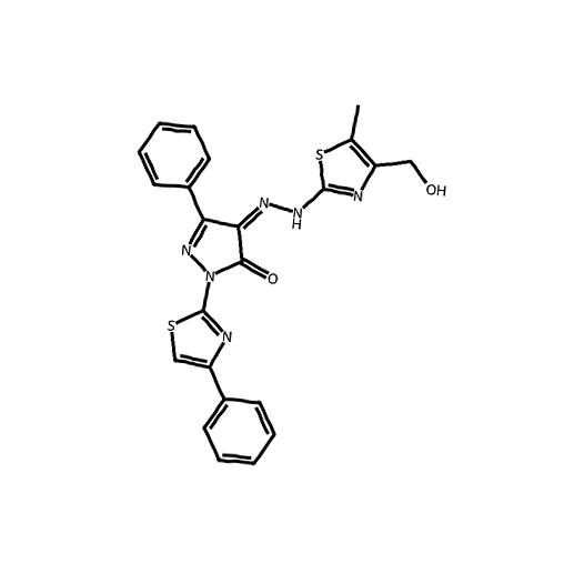 Cc1sc(NN=C2C(=O)N(c3nc(-c4ccccc4)cs3)N=C2c2ccccc2)nc1CO